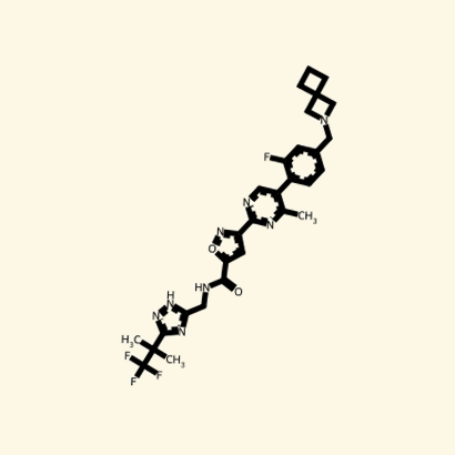 Cc1nc(-c2cc(C(=O)NCc3nc(C(C)(C)C(F)(F)F)n[nH]3)on2)ncc1-c1ccc(CN2CC3(CCC3)C2)cc1F